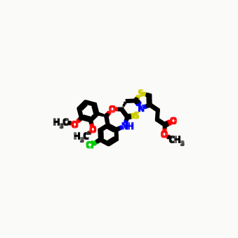 COC(=O)CCc1csc(C[C@H]2O[C@H](c3cccc(OC)c3OC)c3cc(Cl)ccc3NC2=S)n1